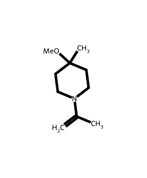 C=C(C)N1CCC(C)(OC)CC1